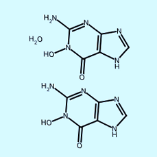 Nc1nc2nc[nH]c2c(=O)n1O.Nc1nc2nc[nH]c2c(=O)n1O.O